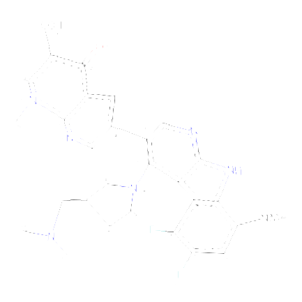 CNc1cc(F)c(F)c2c1[nH]c1ncc(-c3cnc4c(c3)c(=O)c(C(=O)O)cn4C)c(N3CCC(CN(C)C)C3)c12